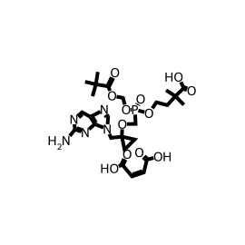 CC(C)(C)C(=O)OCOP(=O)(COC1(Cn2cnc3cnc(N)nc32)CC1)OCCC(C)(C)C(=O)O.O=C(O)/C=C\C(=O)O